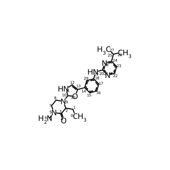 CCC1C(=O)N(N)CCN1C1NC=C(c2cccc(Nc3nccc(C(C)C)n3)c2)O1